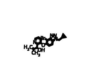 C=C(C)C(O)c1ncccc1Oc1ccc2c(nnn2CC2CC2)c1Br